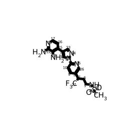 CS(=O)(=O)NCCC(c1ccc(-n2cc(-c3ccnc(N)c3N)cn2)nc1)C(F)(F)F